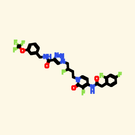 O=C(Cc1ccc(F)cc1F)Nc1ccn(CCC(F)Cn2cc(C(=O)NCc3cccc(OC(F)(F)F)c3)nn2)c(=O)c1F